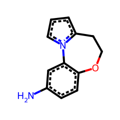 Nc1ccc2c(c1)-n1cccc1CCO2